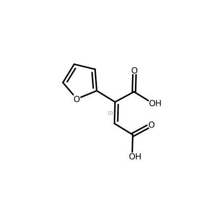 O=C(O)/C=C(\C(=O)O)c1ccco1